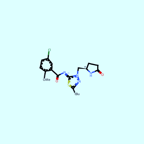 COc1ccc(Cl)cc1C(=O)/N=c1\sc(C(C)(C)C)nn1C[C@H]1CCC(=O)N1